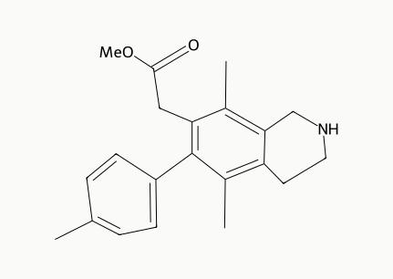 COC(=O)Cc1c(C)c2c(c(C)c1-c1ccc(C)cc1)CCNC2